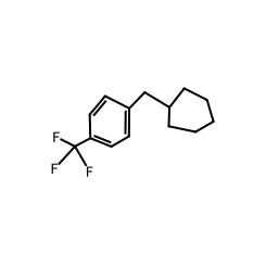 FC(F)(F)c1ccc(CC2CCCCC2)cc1